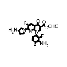 Nc1c(F)ccc(-n2cc(C(=O)OC=O)c(=O)c3cc(F)c(N4CC[C@H](N)C4)nc32)c1F